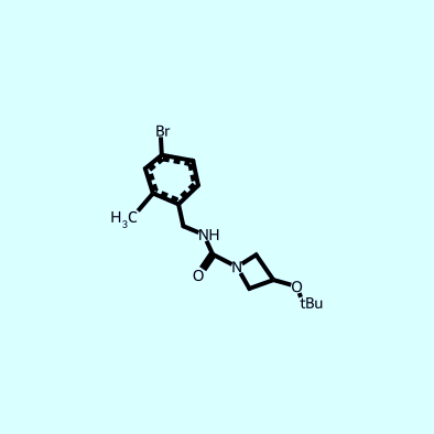 Cc1cc(Br)ccc1CNC(=O)N1CC(OC(C)(C)C)C1